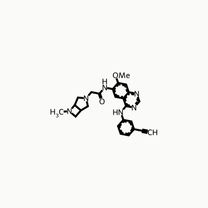 C#Cc1cccc(Nc2ncnc3cc(OC)c(NC(=O)CN4CC5CN(C)C5C4)cc23)c1